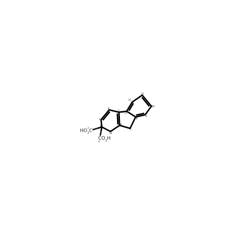 O=C(O)C1(C(=O)O)C=CC2=C(Cc3ccccc32)C1